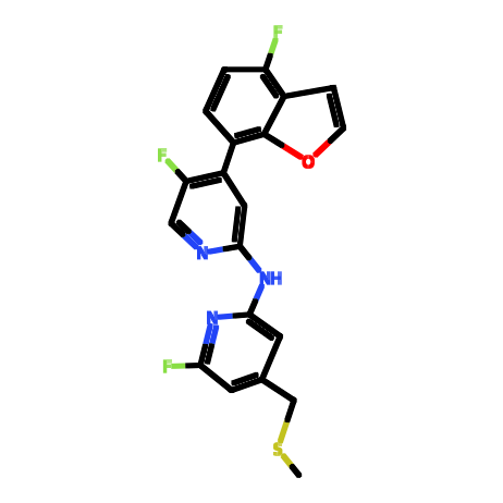 CSCc1cc(F)nc(Nc2cc(-c3ccc(F)c4ccoc34)c(F)cn2)c1